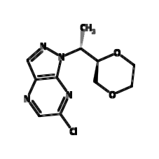 C[C@H]([C@@H]1COCCO1)n1ncc2ncc(Cl)nc21